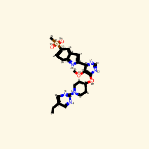 CCc1cnc(N2CCC(Oc3ncnc(C4=CC5=CC(S(C)(=O)=O)=CCC5=N4)c3OC)CC2)nc1